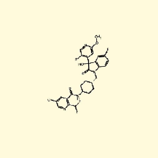 COc1cc(C2(O)C(=O)N(C[C@H]3CC[C@H](NC(=O)c4cc(Cl)cnc4C(F)F)CC3)c3ccc(F)cc32)c(F)cn1